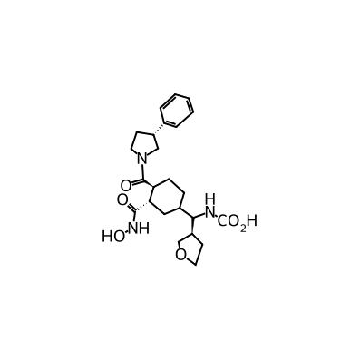 O=C(O)NC(C1CC[C@H](C(=O)N2CC[C@H](c3ccccc3)C2)[C@@H](C(=O)NO)C1)[C@H]1CCOC1